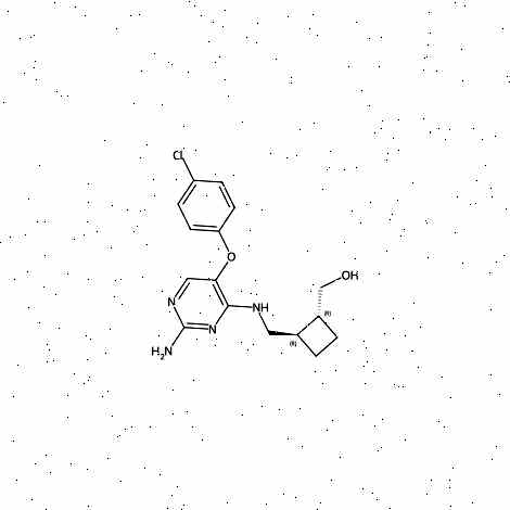 Nc1ncc(Oc2ccc(Cl)cc2)c(NC[C@@H]2CC[C@H]2CO)n1